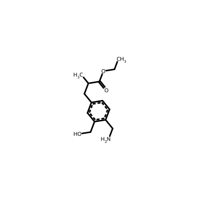 CCOC(=O)C(C)Cc1ccc(CN)c(CO)c1